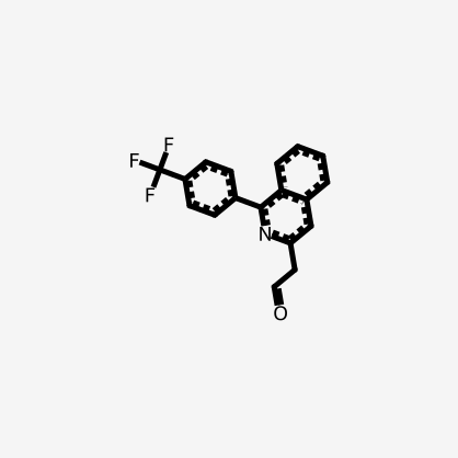 O=CCc1cc2ccccc2c(-c2ccc(C(F)(F)F)cc2)n1